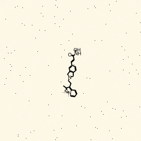 Cc1nn2ccccc2c1CCN1Cc2ccc(C=CC(=O)NO)cc2C1